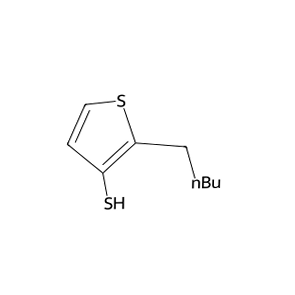 CCCCCc1sccc1S